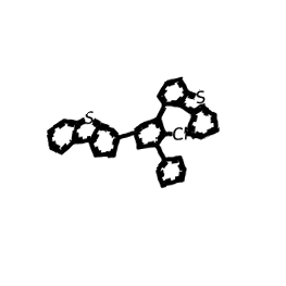 N#Cc1c(-c2ccccc2)cc(-c2ccc3c(c2)sc2ccccc23)cc1-c1cccc2sc3ccccc3c12